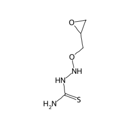 NC(=S)NNOCC1CO1